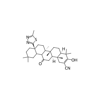 Cc1nnc([C@]23CCC(C)(C)CC2C2C(=O)C[C@@H]4[C@@]5(C)CC(C#N)=C(O)C(C)(C)[C@@H]5CC[C@@]4(C)[C@]2(C)CC3)s1